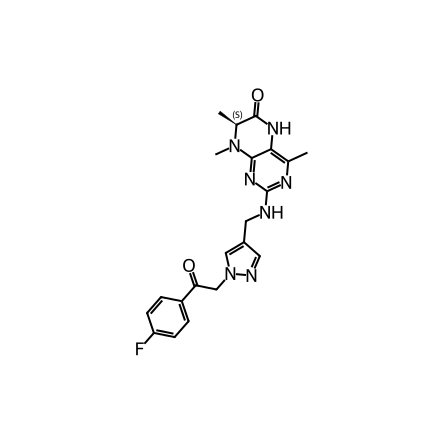 Cc1nc(NCc2cnn(CC(=O)c3ccc(F)cc3)c2)nc2c1NC(=O)[C@H](C)N2C